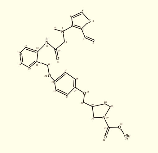 C=Cc1sccc1N(C)CC(=O)Nc1ccccc1COc1ccc(OCC2CCN(C(=O)OC(C)(C)C)C2)cc1